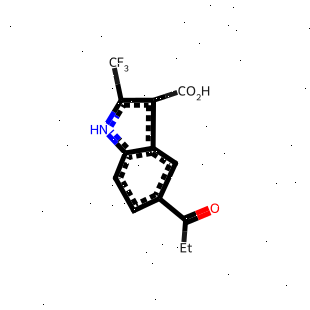 CCC(=O)c1ccc2[nH]c(C(F)(F)F)c(C(=O)O)c2c1